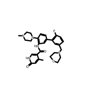 Cc1cc(=O)[nH]cc1C(=O)Nc1cc(-c2cc(CN3CCOCC3)ccc2F)ccc1N1CCN(C)CC1